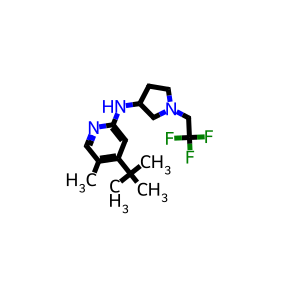 Cc1cnc(NC2CCN(CC(F)(F)F)C2)cc1C(C)(C)C